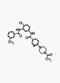 CC(=O)N1CCN(c2ccc(C(=O)Nc3ccc(Cl)c(NC(=O)c4cccc(C)c4)c3)cn2)CC1